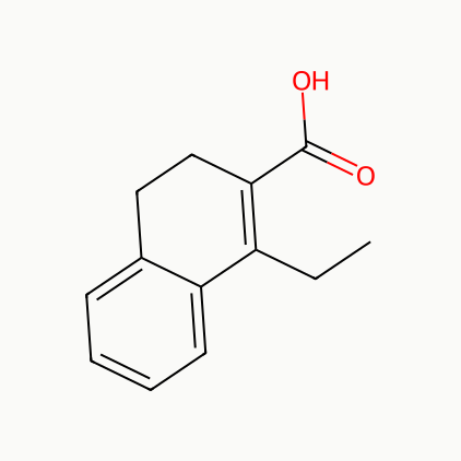 CCC1=C(C(=O)O)CCc2ccccc21